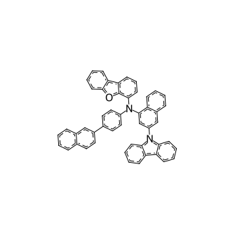 c1ccc2cc(-c3ccc(N(c4cc(-n5c6ccccc6c6ccccc65)cc5ccccc45)c4cccc5c4oc4ccccc45)cc3)ccc2c1